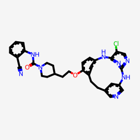 N#Cc1ccccc1NC(=O)N1CCC(CCOc2ccc3cc2CCc2cncc(c2)Nc2ncc(Cl)c(n2)N3)CC1